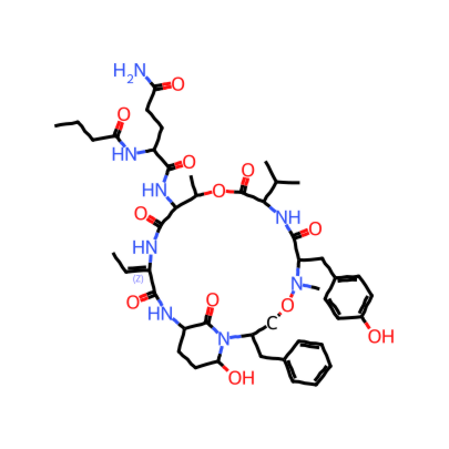 C/C=C1\NC(=O)C(NC(=O)C(CCC(N)=O)NC(=O)CCC)C(C)OC(=O)C(C(C)C)NC(=O)C(Cc2ccc(O)cc2)N(C)OCC(Cc2ccccc2)N2C(=O)C(CCC2O)NC1=O